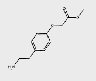 COC(=O)COc1ccc(CCN)cc1